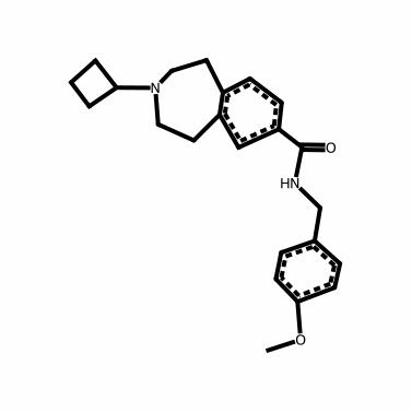 COc1ccc(CNC(=O)c2ccc3c(c2)CCN(C2CCC2)CC3)cc1